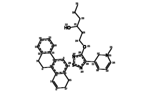 C1=Cc2c(ccc3c2CCc2ccccc2-3)CC1.CCCC(O)CCOc1nsnc1C1=CC=CN(C)C1